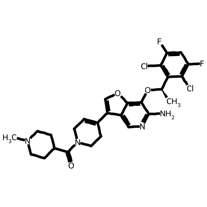 C[C@@H](Oc1c(N)ncc2c(C3=CCN(C(=O)C4CCN(C)CC4)CC3)coc12)c1c(Cl)c(F)cc(F)c1Cl